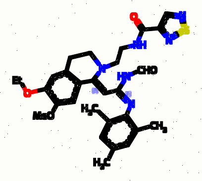 CCOc1cc2c(cc1OC)/C(=C/C(=N\c1c(C)cc(C)cc1C)NC=O)N(CCNC(=O)c1cnsn1)CC2